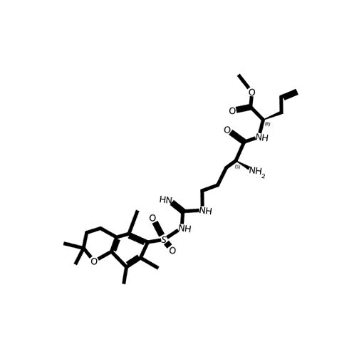 C=CC[C@@H](NC(=O)[C@@H](N)CCCNC(=N)NS(=O)(=O)c1c(C)c(C)c2c(c1C)CCC(C)(C)O2)C(=O)OC